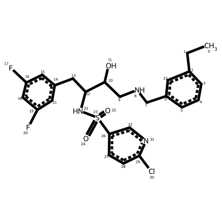 CCc1cccc(CNCC(O)C(Cc2cc(F)cc(F)c2)NS(=O)(=O)c2ccc(Cl)nc2)c1